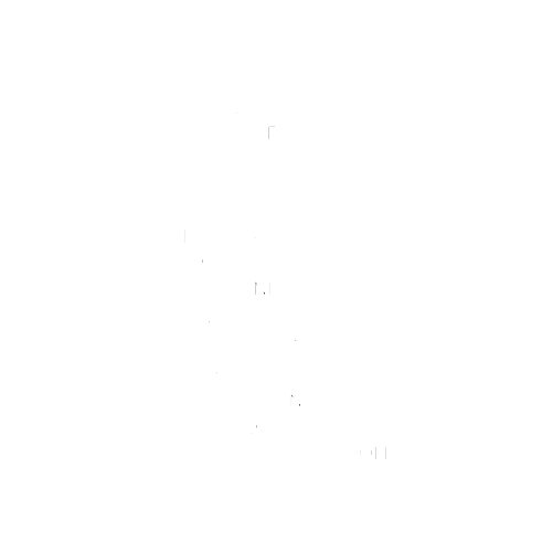 O=C(Cc1cc(C(F)(F)F)ccc1Cl)Nc1cccc2c(=O)n(CCO)ccc12